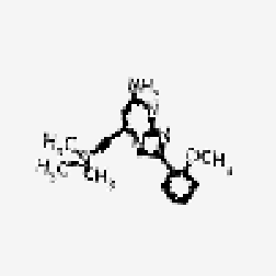 COc1ccccc1-c1cn2c(C#C[Si](C)(C)C)cc(N)nc2n1